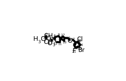 CC(C)(C)OC(=O)N1CCC2(CC1)CC(COCc1cc(F)c(Br)cc1Cl)C2